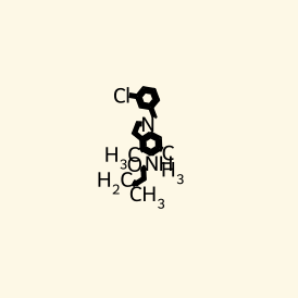 C=C(C)CC(=O)Nc1c(C)cc2c(c1C)CCN2Cc1cccc(Cl)c1